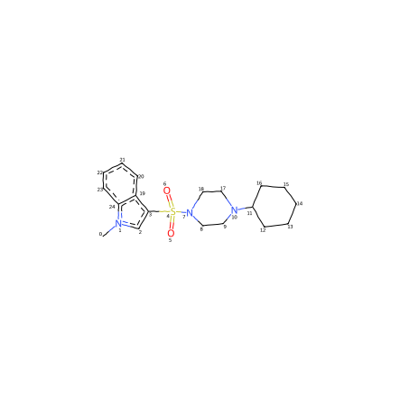 Cn1cc(S(=O)(=O)N2CCN(C3CCCCC3)CC2)c2ccccc21